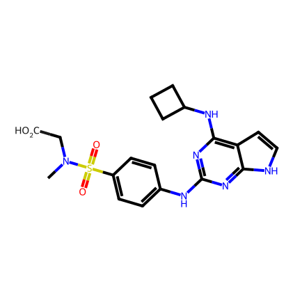 CN(CC(=O)O)S(=O)(=O)c1ccc(Nc2nc(NC3CCC3)c3cc[nH]c3n2)cc1